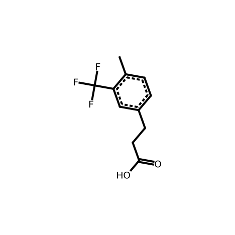 Cc1ccc(CCC(=O)O)cc1C(F)(F)F